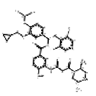 COc1ccc(C(=O)O[C@@H](Cc2c(Cl)cncc2Cl)c2ccc(OC(F)F)c(OCC3CC3)c2)cc1NC(=O)CC(=O)N1C[C@@H](C)NC[C@@H]1C